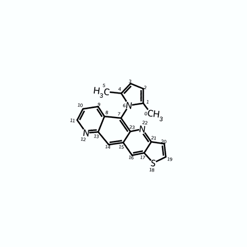 Cc1ccc(C)n1-c1c2cccnc2cc2cc3sccc3nc12